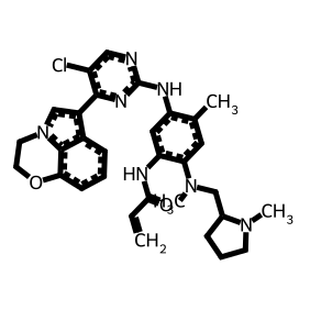 C=CC(=O)Nc1cc(Nc2ncc(Cl)c(-c3cn4c5c(cccc35)OCC4)n2)c(C)cc1N(C)CC1CCCN1C